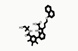 Cc1c(C(=O)NC(C)(C)CO)cc(-c2cccc3c(CCCOc4cccc5ccccc45)c(C(=O)O)[nH]c23)c(C)c1C